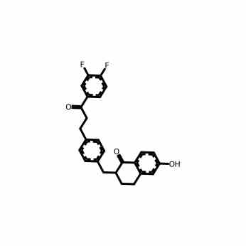 O=C(CCc1ccc(CC2CCc3cc(O)ccc3C2=O)cc1)c1ccc(F)c(F)c1